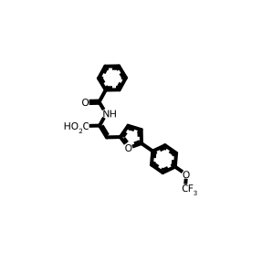 O=C(O)C(=Cc1ccc(-c2ccc(OC(F)(F)F)cc2)o1)NC(=O)c1ccccc1